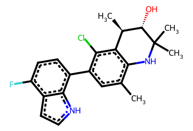 Cc1cc(-c2ccc(F)c3cc[nH]c23)c(Cl)c2c1NC(C)(C)[C@@H](O)[C@@H]2C